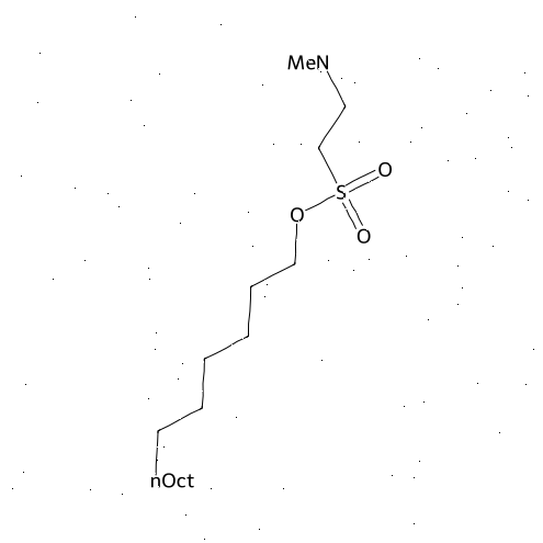 CCCCCCCCCCCCCCOS(=O)(=O)CCNC